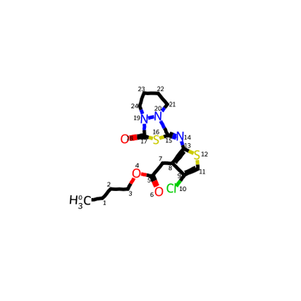 CCCCOC(=O)Cc1c(Cl)csc1N=c1sc(=O)n2n1CCCC2